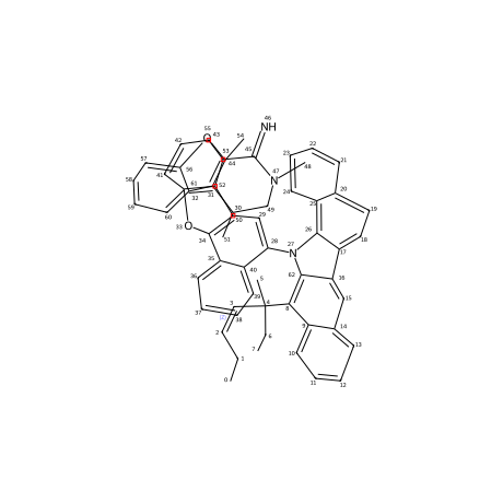 CC/C=C\C(C)(CC)c1c2ccccc2cc2c3ccc4ccccc4c3n(-c3cc4c5c(oc4c4ccccc34)C=CCC5C(=N)N(C)CC(C)c3c(C)oc4ccccc34)c12